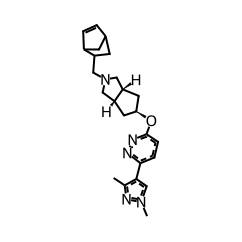 Cc1nn(C)cc1-c1ccc(O[C@H]2C[C@@H]3CN(CC4CC5C=CC4C5)C[C@@H]3C2)nn1